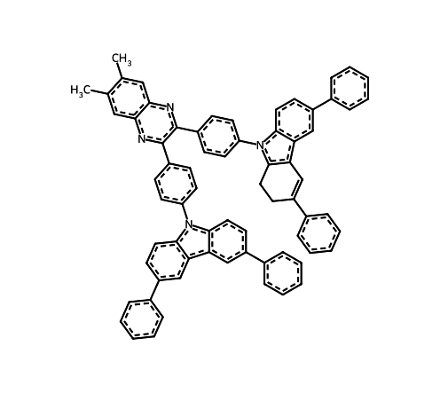 Cc1cc2nc(-c3ccc(-n4c5c(c6cc(-c7ccccc7)ccc64)C=C(c4ccccc4)CC5)cc3)c(-c3ccc(-n4c5ccc(-c6ccccc6)cc5c5cc(-c6ccccc6)ccc54)cc3)nc2cc1C